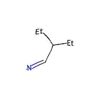 CCC(C=[N])CC